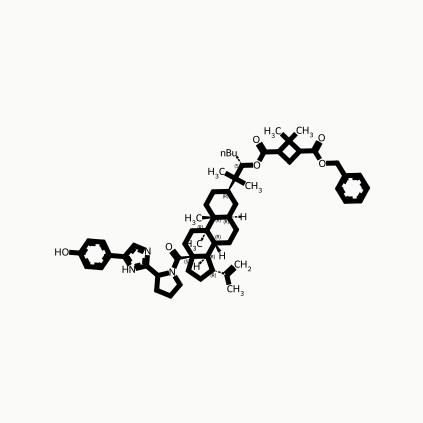 C=C(C)[C@@H]1CC[C@]2(C(=O)N3CCCC3c3ncc(-c4ccc(O)cc4)[nH]3)CC[C@]3(C)[C@H](CC[C@@H]4C[C@H](C(C)(C)[C@H](CCCC)OC(=O)C5CC(C(=O)OCc6ccccc6)C5(C)C)CC[C@]43C)[C@@H]12